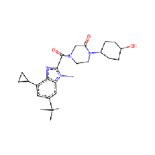 Cn1c(C(=O)N2CCN(C3CCC(O)CC3)C(=O)C2)nc2c(C3CC3)cc(C(C)(C)C)cc21